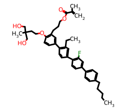 C=C(C)C(=O)OCCCc1cc(-c2ccc(-c3ccc(-c4ccc(CCCCC)cc4)cc3F)cc2CC)ccc1OCCC(C)(CO)CO